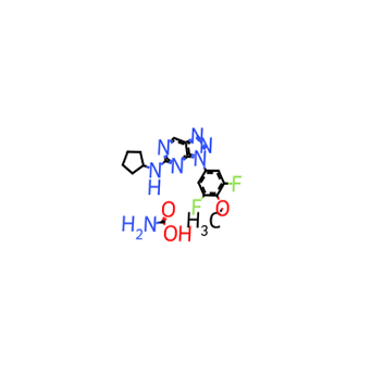 COc1c(F)cc(-n2nnc3cnc(NC4CCCC4)nc32)cc1F.NC(=O)O